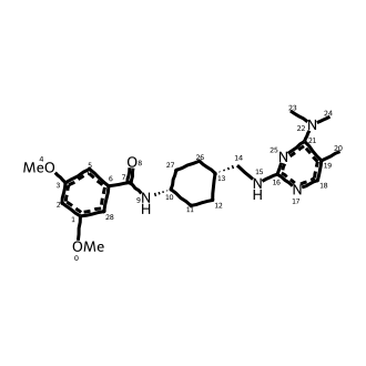 COc1cc(OC)cc(C(=O)N[C@H]2CC[C@@H](CNc3ncc(C)c(N(C)C)n3)CC2)c1